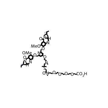 C/C=C1\C[C@H]2C=Nc3cc(OCc4cc(OCCN(C)CC(C)(C)SCC(=O)N(C)CCOCCOCCOCCOCCC(=O)O)cc(COc5cc6c(cc5OC)C(=O)N5C/C(=C/C)C[C@H]5C=N6)n4)c(OC)cc3C(=O)N2C1